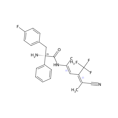 C/C(C#N)=C(\C=C(/C)NC(=O)[C@](N)(Cc1ccc(F)cc1)c1ccccc1)C(F)(F)F